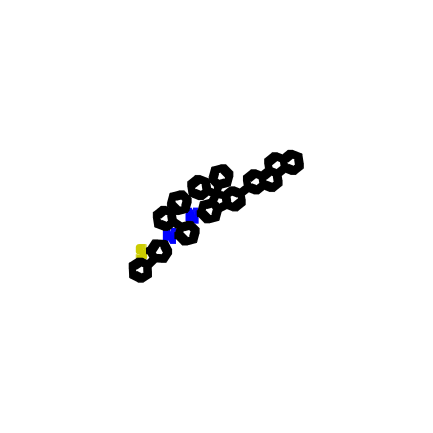 c1ccc(N(c2ccc3c(c2)C(c2ccccc2)(c2ccccc2)c2cc(-c4ccc5c(ccc6c7ccccc7ccc56)c4)ccc2-3)c2cccc3c2c2ccccc2n3-c2ccc3c(c2)sc2ccccc23)cc1